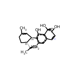 C=C(C)[C@@H]1CCC(C)=C[C@H]1c1c(O)cc(/C=C\C(=O)O)c(C(=O)O)c1O